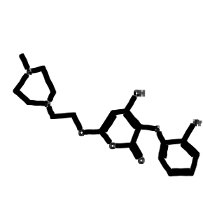 CC(C)c1ccccc1Sc1c(O)cc(OCCN2CCN(C)CC2)oc1=O